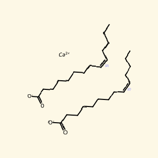 CCCC/C=C\CCCCCCCC(=O)[O-].CCCC/C=C\CCCCCCCC(=O)[O-].[Ca+2]